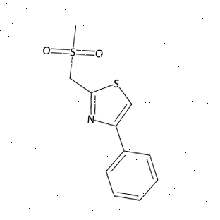 CS(=O)(=O)Cc1nc(-c2ccccc2)cs1